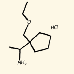 CCOCC1(C(C)N)CCCC1.Cl